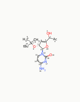 CC(=O)C(O)C1=C[C@@H](O[Si](C)(C)C(C)(C)C)[C@H](n2ccc(N)nc2=O)O1